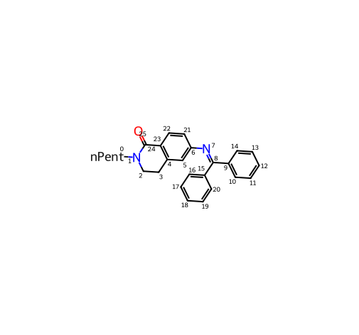 CCCCCN1CCc2cc(N=C(c3ccccc3)c3ccccc3)ccc2C1=O